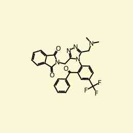 CN(C)Cc1nnc(CN2C(=O)c3ccccc3C2=O)n1-c1ccc(C(F)(F)F)cc1C(=O)c1ccccc1